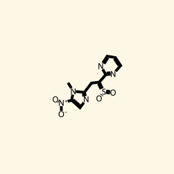 Cn1c([N+](=O)[O-])cnc1CC(c1ncccn1)=S(=O)=O